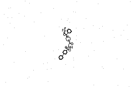 O=C(CNS(=O)(=O)c1ccc(-c2ccccc2)cc1)N1CCN(C(=O)c2ccccc2C(F)(F)F)CC1